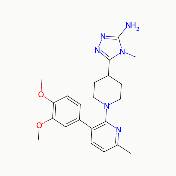 COc1ccc(-c2ccc(C)nc2N2CCC(c3nnc(N)n3C)CC2)cc1OC